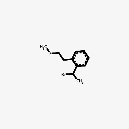 CSCCc1ccccc1[C](C)Br